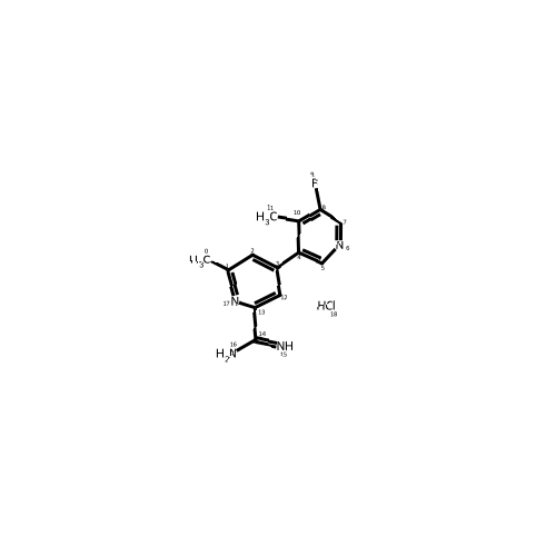 Cc1cc(-c2cncc(F)c2C)cc(C(=N)N)n1.Cl